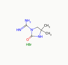 Br.CC1(C)CN(C(=N)N)C(=O)N1